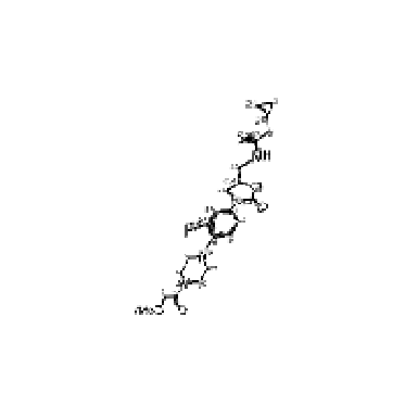 COCC(=O)N1CCN(c2ccc(N3CC(CNC(=S)CC4CC4)OC3=O)cc2F)CC1